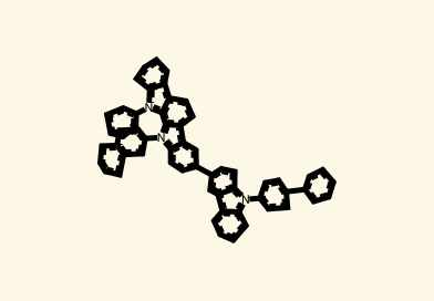 c1ccc(-c2ccc(-n3c4ccccc4c4cc(-c5ccc6c(c5)c5ccc7c8ccccc8n(-c8ccccc8)c7c5n6-c5ccc6ccccc6c5)ccc43)cc2)cc1